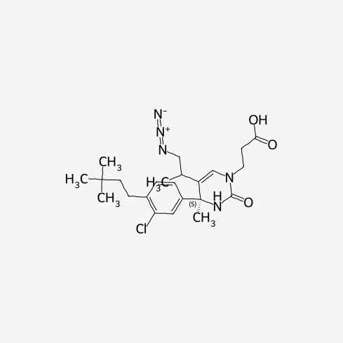 CC(CN=[N+]=[N-])C1=CN(CCC(=O)O)C(=O)N[C@@]1(C)c1ccc(CCC(C)(C)C)c(Cl)c1